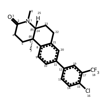 CN1C(=O)CC[C@]2(C)c3ccc(-c4ccc(Cl)c(C(F)(F)F)c4)cc3CC[C@@H]12